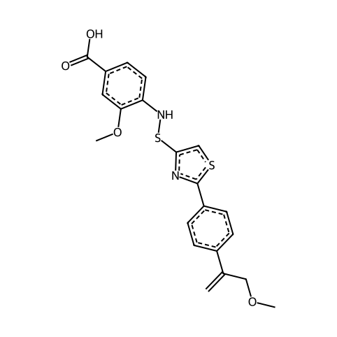 C=C(COC)c1ccc(-c2nc(SNc3ccc(C(=O)O)cc3OC)cs2)cc1